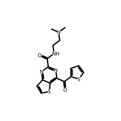 CN(C)CCNC(=O)c1nc(C(=O)c2cccs2)c2sccc2n1